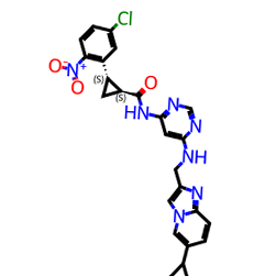 O=C(Nc1cc(NCc2cn3cc(C4CC4)ccc3n2)ncn1)[C@H]1C[C@@H]1c1cc(Cl)ccc1[N+](=O)[O-]